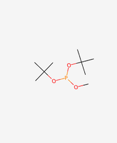 COP(OC(C)(C)C)OC(C)(C)C